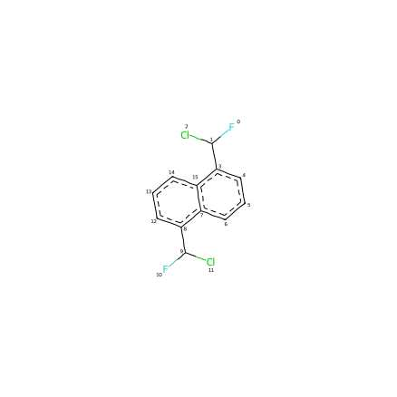 FC(Cl)c1cccc2c(C(F)Cl)cccc12